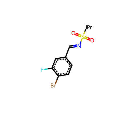 CC(C)S(=O)(=O)/N=C/c1ccc(Br)c(F)c1